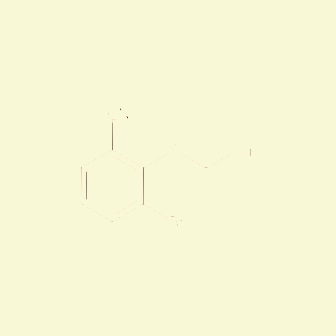 CC(C)CSc1c(Br)cccc1C#N